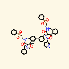 O=C1N(CCS(=O)(=O)c2ccccc2)Cc2ccc(-c3cccc(C[C@]45N=C(c6cccnc6)O[C@H]4c4ccccc4CN(CCS(=O)(=O)c4ccccc4)C5=O)c3)cc2[C@@H]2OC=N[C@]12Cc1ccccc1